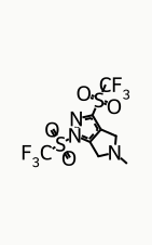 CN1Cc2c(S(=O)(=O)C(F)(F)F)nn(S(=O)(=O)C(F)(F)F)c2C1